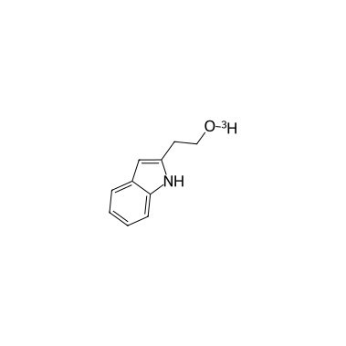 [3H]OCCc1cc2ccccc2[nH]1